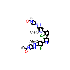 COc1cc(-c2nccc(-c3cccc(-c4ccc(CNC5CCN(C(=O)C(C)C)CC5)c(OC)n4)c3Cl)c2Cl)cc(F)c1CNC1CCN(C(=O)C(C)C)CC1